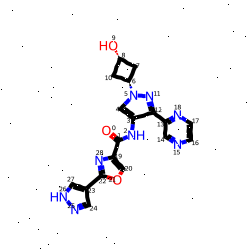 O=C(Nc1cn([C@H]2C[C@@H](O)C2)nc1-c1cnccn1)c1coc(-c2cn[nH]c2)n1